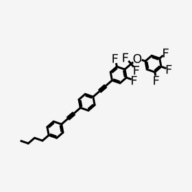 CCCCc1ccc(C#Cc2ccc(C#Cc3cc(F)c(C(F)(F)Oc4cc(F)c(F)c(F)c4)c(F)c3)cc2)cc1